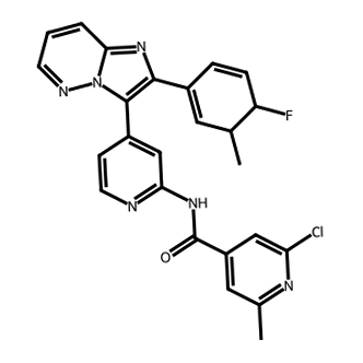 Cc1cc(C(=O)Nc2cc(-c3c(C4=CC(C)C(F)C=C4)nc4cccnn34)ccn2)cc(Cl)n1